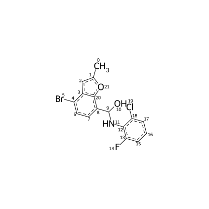 Cc1cc2c(Br)ccc(C(O)Nc3c(F)cccc3Cl)c2o1